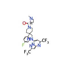 CN1CC[C@@H]1C(=O)N1CCC(CNc2cc(C(F)(F)F)nc3cc(C(F)(F)F)nn23)(c2ccc(F)cc2)CC1